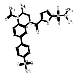 CC(=O)N1c2ccc(-c3ccc(S(C)(=O)=O)cc3)cc2N(C(=O)c2ccc(S(=O)(=O)N(C)C)o2)C[C@@H]1C